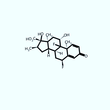 C[C@@H]1C[C@H]2[C@@H]3C[C@H](F)C4=CC(=O)C=C[C@]4(C)C3(F)[C@@H](O)C[C@]2(C)[C@]1(O)C(=O)O